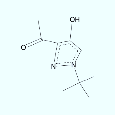 CC(=O)c1nn(C(C)(C)C)cc1O